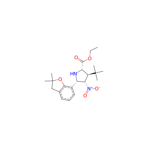 CCOC(=O)[C@H]1N[C@@H](c2cccc3c2OC(C)(C)C3)[C@@H]([N+](=O)[O-])[C@@H]1C(C)(C)C